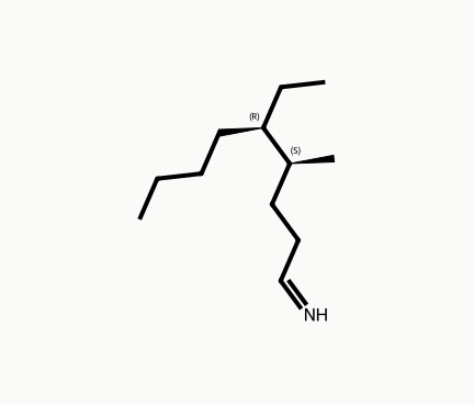 CCCC[C@@H](CC)[C@@H](C)CCC=N